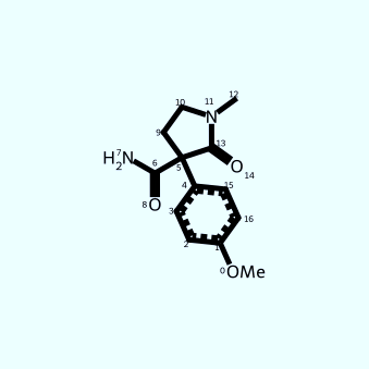 COc1ccc(C2(C(N)=O)CCN(C)C2=O)cc1